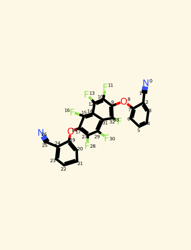 N#Cc1ccccc1Oc1c(F)c(F)c2c(F)c(Oc3ccccc3C#N)c(F)c(F)c2c1F